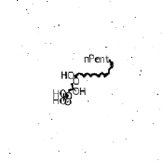 CCCCC/C=C\C/C=C\CCCCCCC[C@@H](O)OC[C@@H](O)COP(=O)(O)O